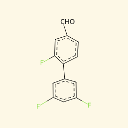 O=Cc1ccc(-c2cc(F)cc(F)c2)c(F)c1